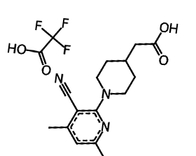 Cc1cc(C)c(C#N)c(N2CCC(CC(=O)O)CC2)n1.O=C(O)C(F)(F)F